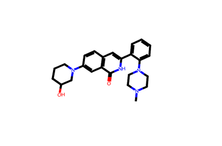 CN1CCN(c2ccccc2-c2cc3ccc(N4CCCC(O)C4)cc3c(=O)[nH]2)CC1